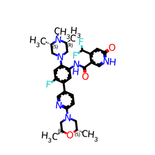 C[C@@H]1CN(c2ccc(-c3cc(NC(=O)c4c[nH]c(=O)cc4C(F)F)c(N4C[C@@H](C)N(C)[C@@H](C)C4)cc3F)cn2)C[C@H](C)O1